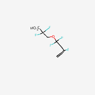 C=C(F)C(F)(F)OCC(F)(F)C(=O)O